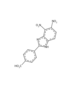 O=C(O)c1ccc(-c2nc3c([N+](=O)[O-])c([N+](=O)[O-])ccc3[nH]2)cc1